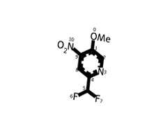 COc1cnc(C(F)F)cc1[N+](=O)[O-]